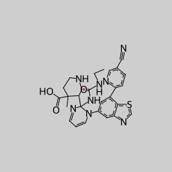 CCNC(=O)NC1(C2CNCCC2(C)C(=O)O)N=CC=CN1c1cc(-c2ccc(C#N)cn2)c2scnc2c1